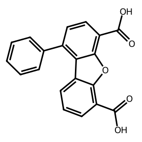 O=C(O)c1cccc2c1oc1c(C(=O)O)ccc(-c3ccccc3)c12